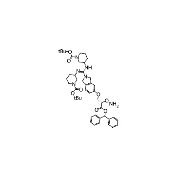 CC(C)(C)OC(=O)N1CCC[C@@H](/N=C(/N[C@@H]2CCCN(C(=O)OC(C)(C)C)C2)N2Cc3ccc(OC[C@H](ON)C(=O)OC(c4ccccc4)c4ccccc4)cc3C2)C1